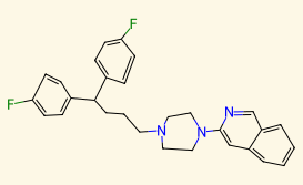 Fc1ccc(C(CCCN2CCN(c3cc4ccccc4cn3)CC2)c2ccc(F)cc2)cc1